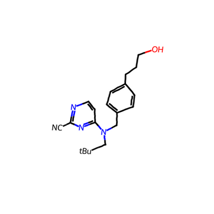 CC(C)(C)CN(Cc1ccc(CCCO)cc1)c1ccnc(C#N)n1